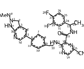 CNN1Cc2cc(-c3ccc(CNc4ncc(C#N)nc4C(=O)NC(C)c4ccc(F)c(F)c4)cc3)cnc2N1